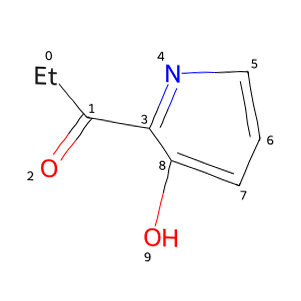 CCC(=O)c1ncccc1O